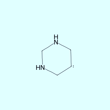 [C]1CNCNC1